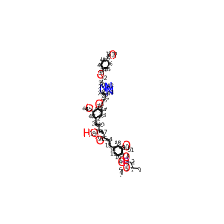 CCCP(=O)(OCC)Oc1ccc(/C=C/C(=O)/C=C(O)/C=C/c2ccc(OCc3cn(CCOc4ccc(C=O)cc4)nn3)c(OC)c2)cc1OC